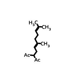 CC(=O)C(C/C=C(\C)CCC=C(C)C)C(C)=O